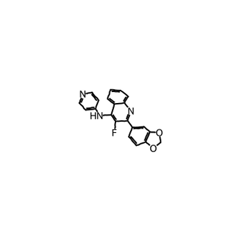 Fc1c(-c2ccc3c(c2)OCO3)nc2ccccc2c1Nc1ccncc1